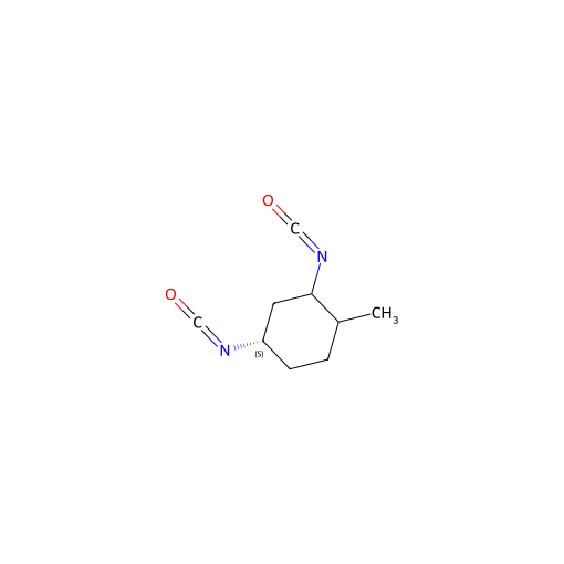 CC1CC[C@H](N=C=O)CC1N=C=O